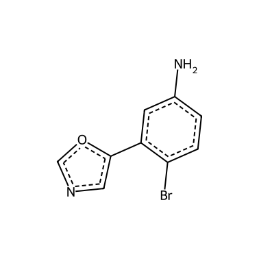 Nc1ccc(Br)c(-c2cnco2)c1